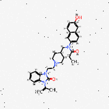 C=C(C)n1c(=O)n(CCN2CCC(CN(C(=O)CC)c3ccc4cc(O)ccc4c3)CC2)c2ccccc21